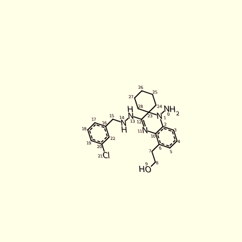 NN1c2cccc(CCO)c2N=C(NNCc2cccc(Cl)c2)C12CCCCC2